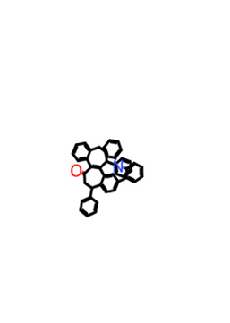 O=C1CC(c2ccccc2)c2ccc3c4ccccc4n(-c4ccccc4)c3c2C2=C1c1ccccc1CCC2c1ccccc1